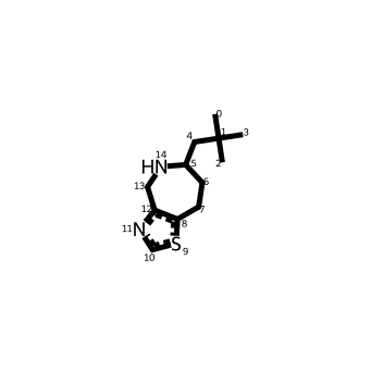 CC(C)(C)CC1CCc2scnc2CN1